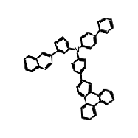 c1ccc(-c2ccc(N(c3ccc(-c4ccc5c6ccccc6c6ccccc6c5c4)cc3)c3cccc(-c4ccc5ccccc5c4)c3)cc2)cc1